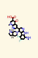 CNc1cc(F)c(F)c2c1[nH]c1ncc(-c3cnc4c(c3)c(=O)c(C(=O)O)cn4C)c(N3CC[C@H]4CCN(C)[C@H]4C3)c12